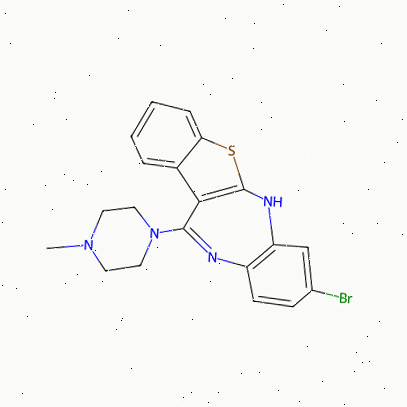 CN1CCN(C2=Nc3ccc(Br)cc3Nc3sc4ccccc4c32)CC1